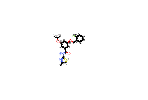 Cc1csc(NC(=O)c2cc(OCc3ccccc3F)cc(OC(C)C)c2)n1